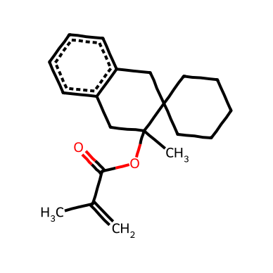 C=C(C)C(=O)OC1(C)Cc2ccccc2CC12CCCCC2